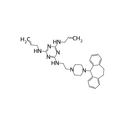 C=CCNc1nc(NCC=C)nc(NCCN2CCN(C3c4ccccc4CCc4ccccc43)CC2)n1